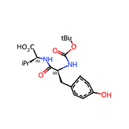 CC(C)[C@H](NC(=O)[C@H](Cc1ccc(O)cc1)NC(=O)OC(C)(C)C)C(=O)O